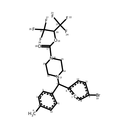 Cc1ccc(C(c2ccc(Br)cc2)N2CCN(C(=O)OC(C(F)(F)F)C(F)(F)F)CC2)cc1